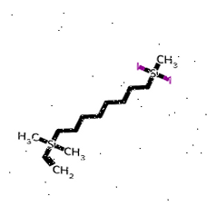 C=C[Si](C)(C)CCCCCCCC[Si](C)(I)I